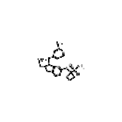 CNCC1Cc2ccc(CC3(S(N)(=O)=O)CCC3)cc2C1Cc1cccc(C(F)(F)F)c1